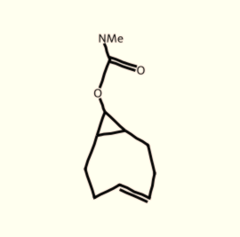 CNC(=O)OC1C2CC/C=C/CCC21